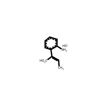 CC=C(C(=O)O)c1ccccc1N.Cl